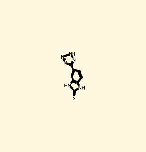 S=c1[nH]c2ccc(-c3nn[nH]n3)cc2[nH]1